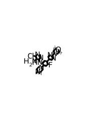 C[C@@H]1CN(c2ncc(-c3cc(Nc4ncnc(Cl)c4N)c(N4CCN(C)[C@@H](C)C4)cc3F)cn2)C[C@H](C)O1